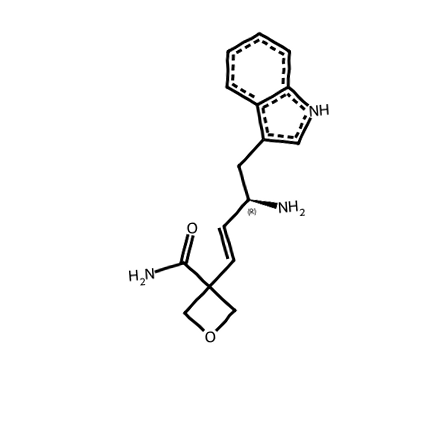 NC(=O)C1(C=C[C@H](N)Cc2c[nH]c3ccccc23)COC1